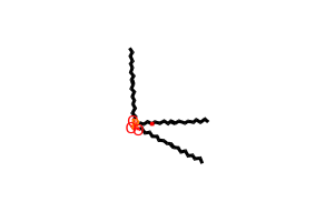 CCCCCCCCC=CCCCCCCCCOP(=O)(CCCCCCCCC=CCCCCCCCC)OCCCCCCCCC=CCCCCCCCC